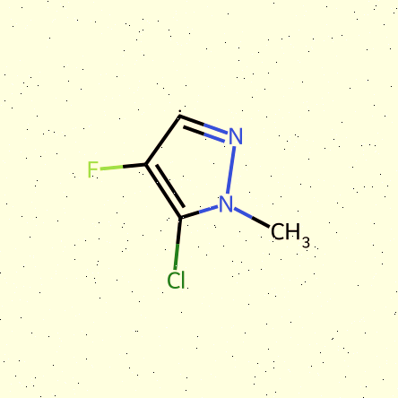 Cn1n[c]c(F)c1Cl